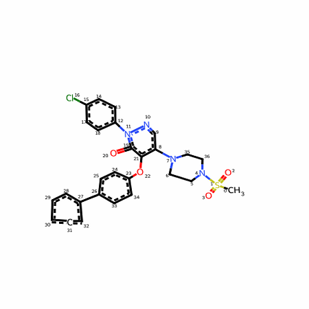 CS(=O)(=O)N1CCN(c2cnn(-c3ccc(Cl)cc3)c(=O)c2Oc2ccc(-c3ccccc3)cc2)CC1